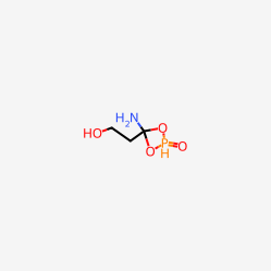 NC1(CCO)O[PH](=O)O1